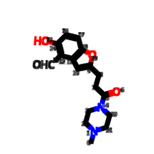 CN1CCN(C(=O)CCc2cc3c(C=O)c(O)ccc3o2)CC1